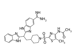 CC(=O)Nc1nc(S(=O)(=O)N2CCC(CC(c3nc4ccccc4[nH]3)c3nc4cc(C(=N)N)ccc4[nH]3)CC2)sc1C